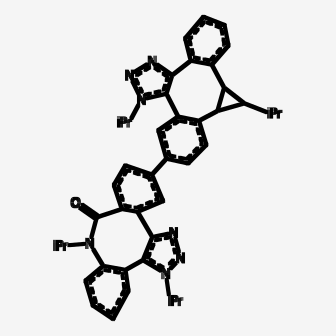 CC(C)C1C2c3ccccc3-c3nnn(C(C)C)c3-c3cc(-c4ccc5c(c4)-c4nnn(C(C)C)c4-c4ccccc4N(C(C)C)C5=O)ccc3C21